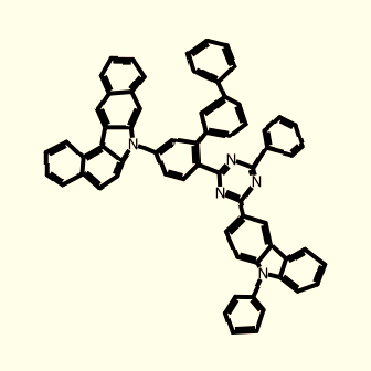 c1ccc(-c2cccc(-c3cc(-n4c5cc6ccccc6cc5c5c6ccccc6ccc54)ccc3-c3nc(-c4ccccc4)nc(-c4ccc5c(c4)c4ccccc4n5-c4ccccc4)n3)c2)cc1